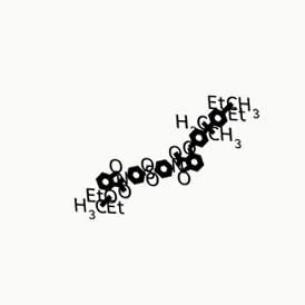 CCC(C)(CC)Oc1cccc2c1C(=O)N(c1ccc(S(=O)(=O)c3ccc(N4C(=O)c5cccc(Oc6ccc(C(C)(C)c7ccc(C(C)(CC)CC)cc7)cc6)c5C4=O)cc3)cc1)C2=O